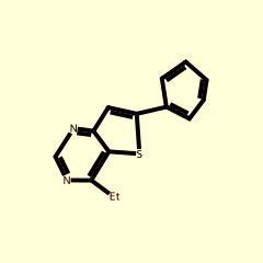 CCc1ncnc2cc(-c3ccccc3)sc12